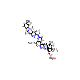 COC(=O)c1nc(N2CCCc3c2nnc(Nc2nc4cc(C)ccc4s2)c3C)ccc1-c1cnn(CC23CC4(C)CC(C)(C2)CC(OCCO)(C4)C3)c1C